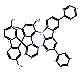 CC(C)(C)c1ccc2c(c1)C1(c3cc(C(C)(C)C)ccc3-2)c2ccccc2-c2c(-n3c4ccc(-c5ccccc5)cc4c4cc(-c5ccccc5)ccc43)c(C#N)cc(C#N)c21